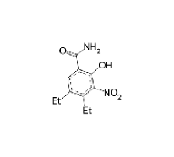 CCc1cc(C(N)=O)c(O)c([N+](=O)[O-])c1CC